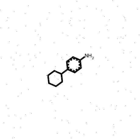 Nc1ccc(C2C[CH]CCC2)cc1